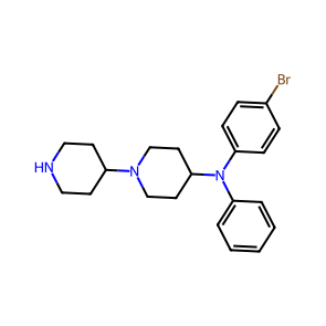 Brc1ccc(N(c2ccccc2)C2CCN(C3CCNCC3)CC2)cc1